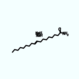 CCCCCCCCC=CCCCCCCCC(N)=O.[NaH].[NaH]